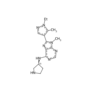 CCn1ncc(-c2nc3c(N[C@H]4CCNC4)ncnc3n2C)c1C